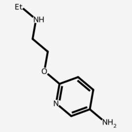 CCNCCOc1ccc(N)cn1